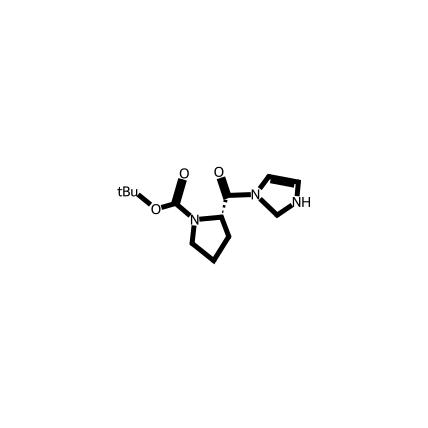 CC(C)(C)OC(=O)N1CCC[C@H]1C(=O)N1C=CNC1